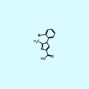 Cc1nc(C(=O)O)cn1-c1ccccc1Br